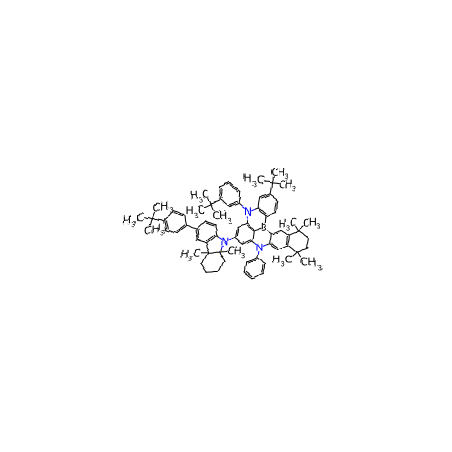 CC(C)(C)c1ccc(-c2ccc3c(c2)C2(C)CCCCC2(C)N3c2cc3c4c(c2)N(c2ccccc2)c2cc5c(cc2B4c2ccc(C(C)(C)C)cc2N3c2cccc(C(C)(C)C)c2)C(C)(C)CCC5(C)C)cc1